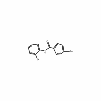 CCc1ccccc1NC(=O)c1ccc(C(C)(C)C)cc1